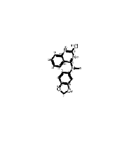 CN(c1ccc2c(c1)OCO2)c1nc(Cl)nc2ccccc12